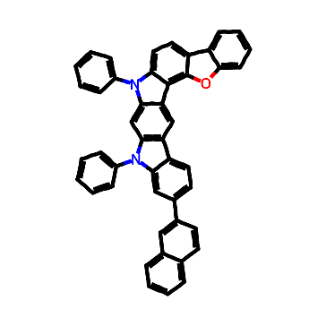 c1ccc(-n2c3cc(-c4ccc5ccccc5c4)ccc3c3cc4c5c6oc7ccccc7c6ccc5n(-c5ccccc5)c4cc32)cc1